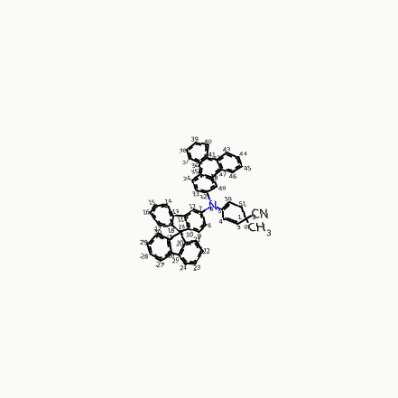 CC1(C#N)C=CC(N(c2ccc3c(c2)-c2ccccc2C32c3ccccc3-c3ccccc32)c2ccc3c4ccccc4c4ccccc4c3c2)=CC1